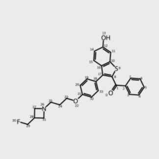 O=C(c1ccccc1)c1sc2cc(O)ccc2c1-c1ccc(OCCCN2CC(CF)C2)cc1